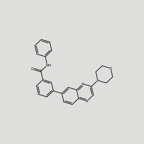 O=C(Nc1ccccc1)c1cccc(-c2ccc3ncc(N4CCOCC4)nc3c2)c1